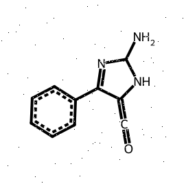 NC1N=C(c2ccccc2)C(=C=O)N1